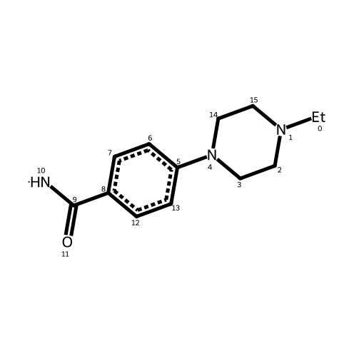 CCN1CCN(c2ccc(C([NH])=O)cc2)CC1